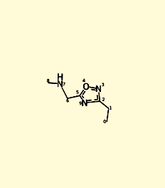 CCc1noc(CNC)n1